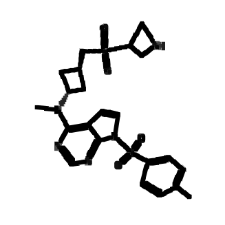 Cc1ccc(S(=O)(=O)n2ccc3c(N(C)[C@H]4C[C@H](CS(=O)(=O)C5CNC5)C4)ncnc32)cc1